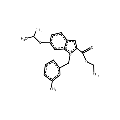 CCOC(=O)c1cc2ccc(SC(C)C)cc2n1Cc1cccc(C)c1